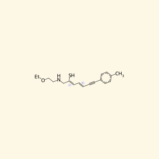 CCOCCNC/C(S)=C/C=C/C#Cc1ccc(C)cc1